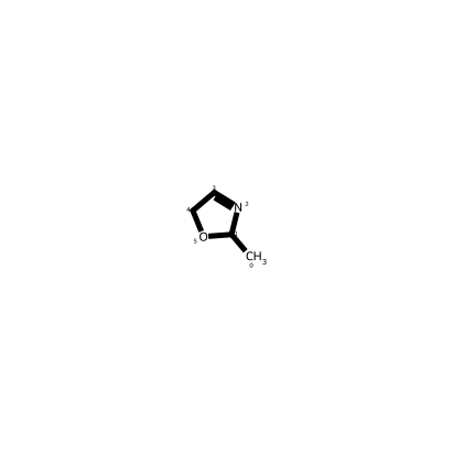 CC1N=CCO1